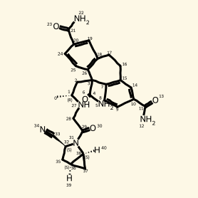 C[C@H](CC1(C(N)=O)c2ccc(C(N)=O)cc2CCc2cc(C(N)=O)ccc21)NCC(=O)N1[C@H](C#N)C[C@@H]2C[C@@H]21